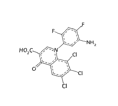 Nc1cc(-n2cc(C(=O)O)c(=O)c3cc(Cl)c(Cl)c(Cl)c32)c(F)cc1F